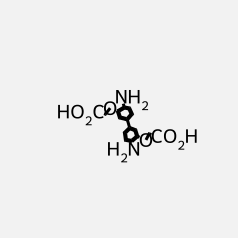 Nc1ccc(-c2ccc(N)c(OCC(=O)O)c2)cc1OCC(=O)O